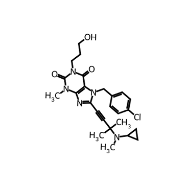 CN(C1CC1)C(C)(C)C#Cc1nc2c(c(=O)n(CCCO)c(=O)n2C)n1Cc1ccc(Cl)cc1